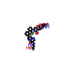 COc1nc(-c2cccc(-c3cccc(-c4ccn5c(=O)c(CNC[C@H](C)O)cnc5c4)c3Cl)c2Cl)ccc1CN(C[C@@H]1CCC(=O)N1)C(=O)O